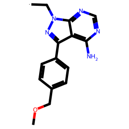 [CH2]Cn1nc(-c2ccc(COC)cc2)c2c(N)ncnc21